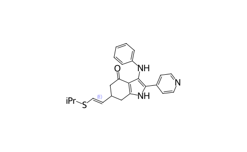 CC(C)S/C=C/C1CC(=O)c2c([nH]c(-c3ccncc3)c2Nc2ccccc2)C1